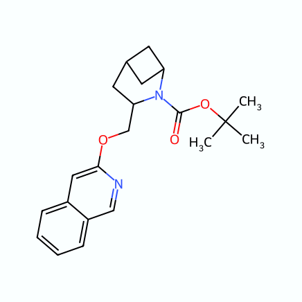 CC(C)(C)OC(=O)N1C(COc2cc3ccccc3cn2)CC2CC1C2